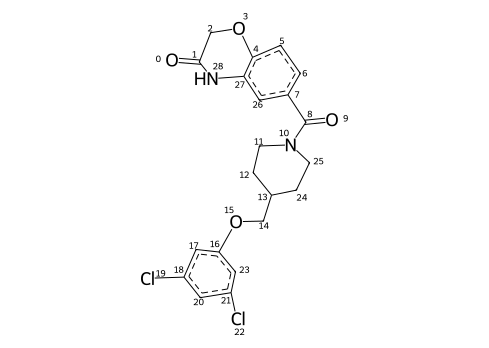 O=C1COc2ccc(C(=O)N3CCC(COc4cc(Cl)cc(Cl)c4)CC3)cc2N1